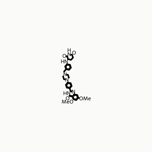 COc1cc(OC)c2c(=O)[nH]c(-c3ccc(N4CCN(Cc5cccc(NC6CCC(=O)NC6=O)c5)CC4)cc3)nc2c1